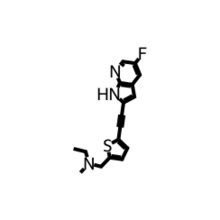 CCN(C)Cc1ccc(C#Cc2cc3cc(F)cnc3[nH]2)s1